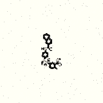 CCN(c1ccc(NC(=O)c2ccc3ccccc3c2)cc1)S(=O)(=O)c1ccc(C)c(C(=O)OC)c1